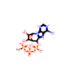 CP(=O)(O)OP(=O)(O)OP(=O)(O)OC1c2nc3c(N)ncnc3n2C2OC1C(O)C2O